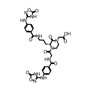 O=C(O)CN1CCN(C(=O)CNC(=O)c2ccc(Nc3noc(=O)[nH]3)cc2)[C@@H](CCCNC(=O)c2ccc(Nc3noc(=O)[nH]3)cc2)C1=O